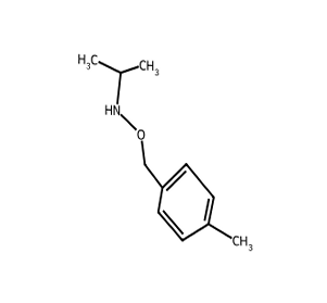 Cc1ccc(CONC(C)C)cc1